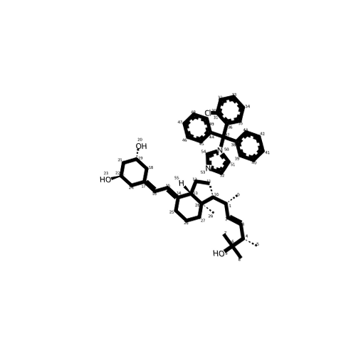 C[C@H](/C=C/[C@H](C)C(C)(C)O)[C@H]1CC[C@H]2/C(=C/C=C3C[C@@H](O)C[C@H](O)C3)CCC[C@]12C.Clc1ccccc1C(c1ccccc1)(c1ccccc1)n1ccnc1